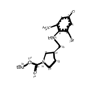 Cc1cc(Cl)cc(Br)c1NC[C@H]1CCN(C(=O)OC(C)(C)C)C1